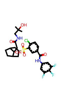 CC(C)(O)CNC(=O)C[C@]1(O)C2CCC1C[C@@H](S(=O)(=O)c1cc(C(=O)Nc3cc(F)c(F)c(F)c3)ccc1Cl)C2